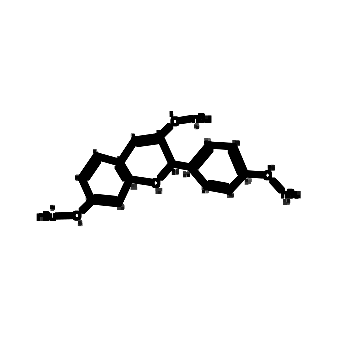 CCCCOC1=Cc2ccc(OCCCC)cc2OC1c1ccc(OCCCC)cc1